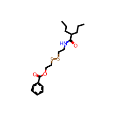 CCCC(CCC)C(=O)NCCSSCCOC(=O)c1ccccc1